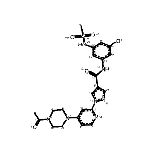 CC(=O)N1CCN(c2ccnc(-n3cc(C(=O)Nc4cc(Cl)cc(NS(C)(=O)=O)c4)cn3)c2)CC1